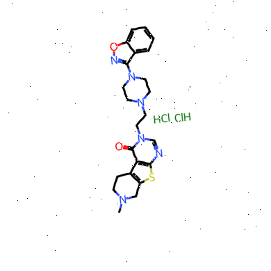 CN1CCc2c(sc3ncn(CCN4CCN(c5noc6ccccc56)CC4)c(=O)c23)C1.Cl.Cl